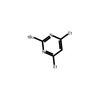 CCc1cc(CC)nc(C(C)(C)C)n1